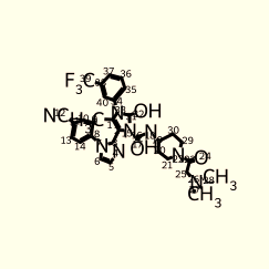 CC1=C(c2nccn2-c2ccc(C#N)cc2)N(C(=O)NC2CCN(C(=O)CN(C)C)CC2)C(O)N1c1cccc(C(F)(F)F)c1